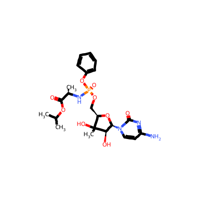 CC(C)OC(=O)[C@H](C)NP(=O)(OC[C@H]1O[C@@H](n2ccc(N)nc2=O)[C@@H](O)C1(C)O)Oc1ccccc1